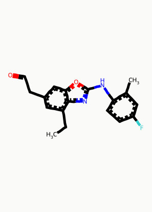 CCc1cc(CC=O)cc2oc(Nc3ccc(F)cc3C)nc12